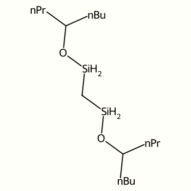 CCCCC(CCC)O[SiH2]C[SiH2]OC(CCC)CCCC